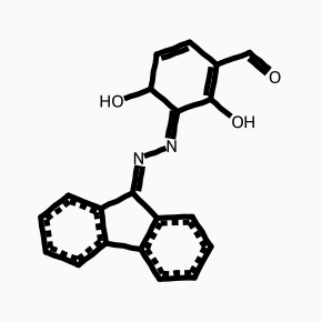 O=CC1=C(O)C(=NN=C2c3ccccc3-c3ccccc32)C(O)C=C1